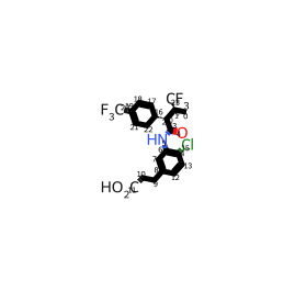 C[C@H]([C@H](C(=O)Nc1cc(CCC(=O)O)ccc1Cl)C1C=CC(C(F)(F)F)=CC1)C(F)(F)F